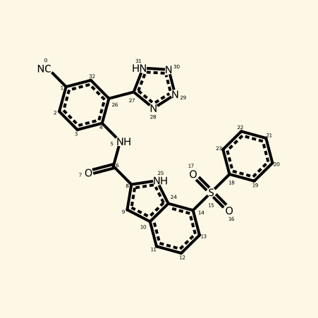 N#Cc1ccc(NC(=O)c2cc3cccc(S(=O)(=O)c4ccccc4)c3[nH]2)c(-c2nnn[nH]2)c1